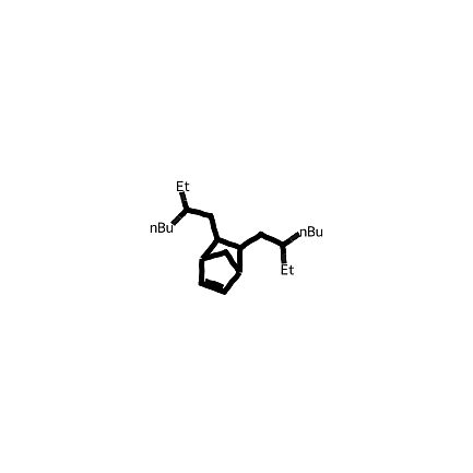 CCCCC(CC)C[C]1C2C=CC(C2)C1CC(CC)CCCC